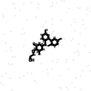 Cc1ccc(C)c(-c2cc(C)ccc2Sc2cc(C)c(OCCO)c(C)c2)c1